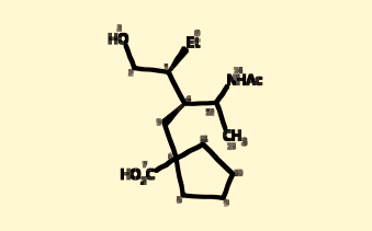 CC[C@H](CO)[C@H](CC1(C(=O)O)CCCC1)C(C)NC(C)=O